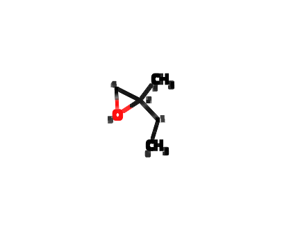 CCC1(C)CO1